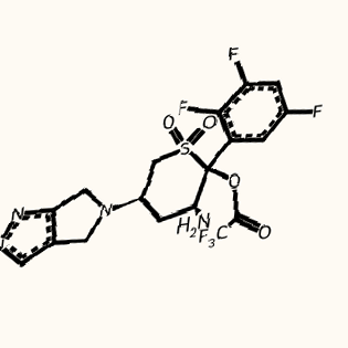 N[C@H]1C[C@@H](N2Cc3c[nH]nc3C2)CS(=O)(=O)C1(OC(=O)C(F)(F)F)c1cc(F)cc(F)c1F